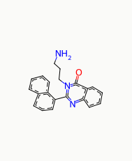 NCCCn1c(-c2cccc3ccccc23)nc2ccccc2c1=O